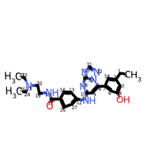 CCc1cc(O)cc(-c2cc(Nc3ccc(C(=O)NCCN(CC)CC)cc3)nc3ncnn23)c1